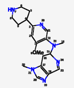 COc1cc(C2CCNCC2)ncc1N(C)C1Cc2c(ncn2C)C=N1